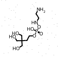 NCCNOP(=O)(O)OCCC(CO)(CO)CO